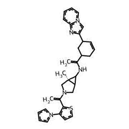 C=C(NC1C2CN(C(=C)c3sccc3-n3cccc3)C[C@]21C)C1CC=CC(c2cn3ccccc3n2)C1